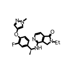 CCN1Cc2c(ccnc2N[C@@H](C)c2ccc(Oc3cnn(C)c3)c(F)c2)C1=O